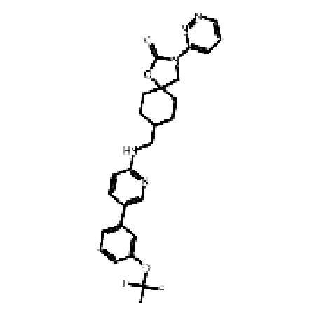 O=C1OC2(CCC(CNc3ccc(-c4cccc(OC(F)(F)F)c4)cn3)CC2)CN1c1cccnn1